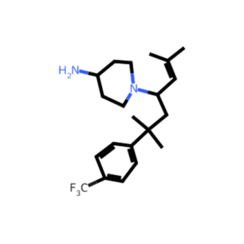 CC(C)=CC(CC(C)(C)c1ccc(C(F)(F)F)cc1)N1CCC(N)CC1